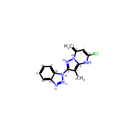 C=C1C=C(Cl)Nc2c(C)c(-n3nnc4ccccc43)nn21